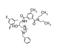 CCCN(CCC)C(=O)c1cc(C)cc(C(=O)N[C@@H](Cc2cc(F)cc(F)c2)[C@H](O)[C@H]2CN(Cc3ccccc3)CCN2)c1